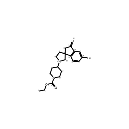 CCOC(=O)N1CCC(N2CCC3(CC(=O)c4cc(F)ccc43)C2)CC1